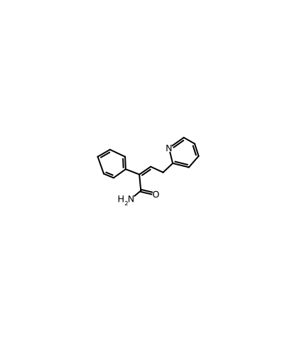 NC(=O)C(=CCc1ccccn1)c1ccccc1